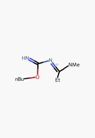 CCCCOC(=N)/N=C(\CC)NC